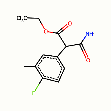 Cc1cc(C(C([NH])=O)C(=O)OCC(Cl)(Cl)Cl)ccc1F